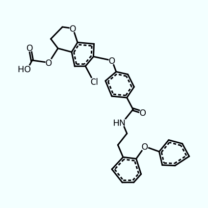 O=C(O)OC1CCOc2cc(Oc3ccc(C(=O)NCCc4ccccc4Oc4ccccc4)cc3)c(Cl)cc21